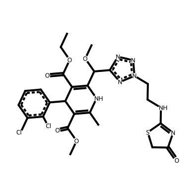 CCOC(=O)C1=C(C(OC)c2nnn(CCNC3=NC(=O)CS3)n2)NC(C)=C(C(=O)OC)C1c1cccc(Cl)c1Cl